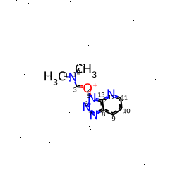 CN(C)C=[O+]n1nnc2cccnc21